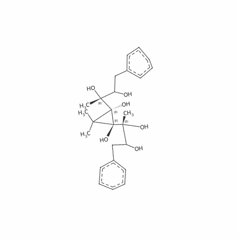 CC1(C)[C@@](O)([C@](C)(O)C(O)Cc2ccccc2)[C@]1(O)[C@](C)(O)C(O)Cc1ccccc1